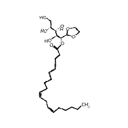 CCCCC/C=C\C/C=C\CCCCCCCC(=O)O[C@@H](C1OCCO1)[C@@H](O)[C@@H](O)[C@H](O)CO